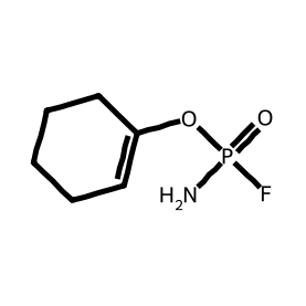 NP(=O)(F)OC1=CCCCC1